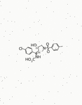 Cc1ccc(S(=O)(=O)N2C[C@H]([C@@H](NC(=O)O)c3ccc(Cl)cc3)[C@H](O)C2)cc1